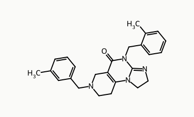 Cc1cccc(CN2CCC3=C(C2)C(=O)N(Cc2ccccc2C)C2=NCCN23)c1